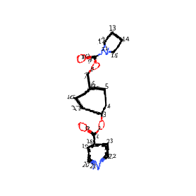 O=C(OC1CCC(COC(=O)N2CCCC2)CC1)c1ccncc1